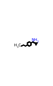 CCCCc1ccc(C(N)=C2CC2)cc1